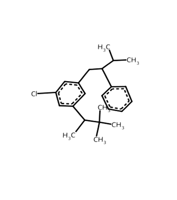 CC(C)C(Cc1cc(Cl)cc(C(C)C(C)(C)C)c1)c1ccccc1